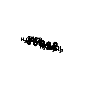 CC1(C)c2ccccc2-c2c1ccc1c2-c2cccc(-c3ccc4ccc5c(-c6cccc7c6C(C)(C)c6ccc8c(c6-7)-c6ccccc6C8(C)C)ccc6ccc3c4c65)c2C1(C)C